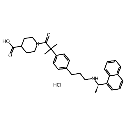 C[C@@H](NCCCc1ccc(C(C)(C)C(=O)N2CCC(C(=O)O)CC2)cc1)c1cccc2ccccc12.Cl